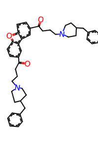 O=C(CCCN1CCC(Cc2ccccc2)CC1)c1ccc2oc3ccc(C(=O)CCCN4CCC(Cc5ccccc5)CC4)cc3c2c1